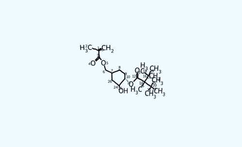 C=C(C)C(=O)OCC1CC[C@H](OC(=O)C(C)(C(C)(C)C)C(C)(C)C)C(O)C1